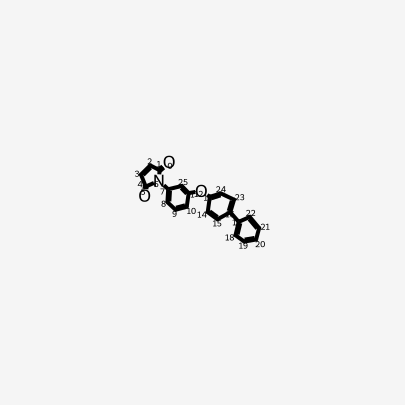 O=C1C=CC(=O)N1c1cccc(Oc2ccc(-c3ccccc3)cc2)c1